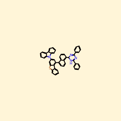 c1ccc(C2=NC(c3cccc4c(-c5cc(-n6c7ccccc7c7ccccc76)cc6sc7ccccc7c56)cccc34)NC(c3ccccc3)=N2)cc1